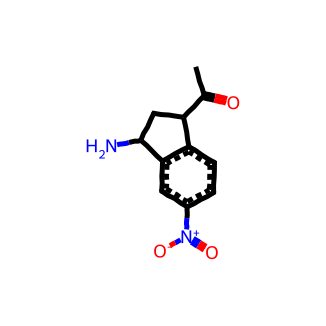 CC(=O)C1CC(N)c2cc([N+](=O)[O-])ccc21